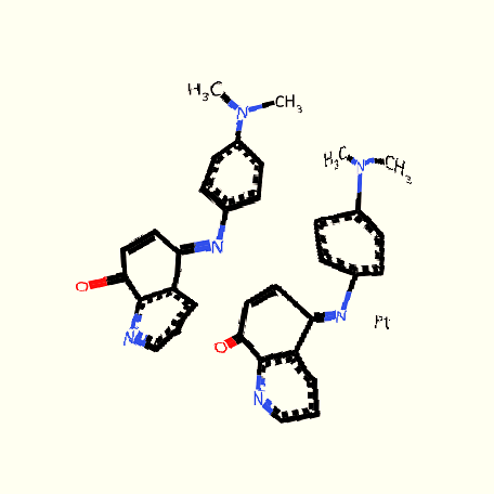 CN(C)c1ccc(/N=C2\C=CC(=O)c3ncccc32)cc1.CN(C)c1ccc(/N=C2\C=CC(=O)c3ncccc32)cc1.[Pt]